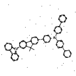 CC1(C)c2cc(-c3ccc(N(c4ccc(-c5ccccc5)cc4)c4ccc(-c5ccccc5)cc4)cc3)ccc2-c2ccc(-n3c4ccccc4c4ccccc43)cc21